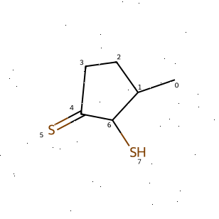 CC1CCC(=S)C1S